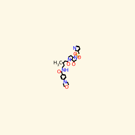 CC(CCNC(=O)c1ccc(N2CCOCC2)cc1)CC(=O)N1CCC2C1C(=O)CN2S(=O)(=O)Cc1cccnc1